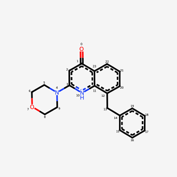 O=c1cc(N2CCOCC2)[nH]c2c(Cc3ccccc3)cccc12